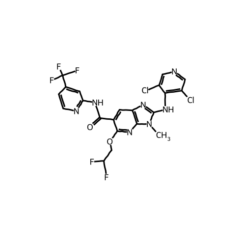 Cn1c(Nc2c(Cl)cncc2Cl)nc2cc(C(=O)Nc3cc(C(F)(F)F)ccn3)c(OCC(F)F)nc21